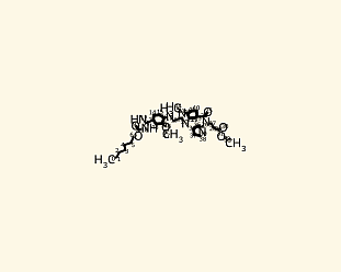 CCCCCCCOC(=O)NC(=N)c1ccc(NCc2nc3cc(C(=O)N(CCC(=O)OCC)c4ccccn4)ccc3n2C)c(OC)c1